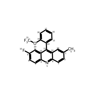 Cc1ccc2nc3ccc(F)cc3c(-c3ccccc3OC(F)(F)F)c2c1